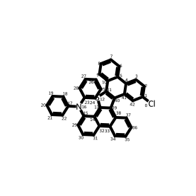 Clc1ccc2c3ccccc3c3sc4c5c(N(c6ccccc6)c6ccccc6)cccc5c5ccccc5c4c3c2c1